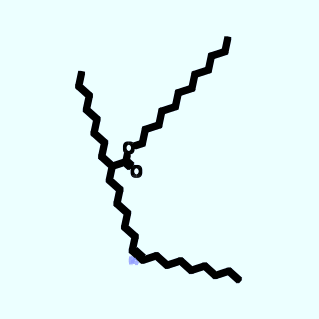 CCCCCCCC/C=C\CCCCCCC(CCCCCCCC)C(=O)OCCCCCCCCCCCC